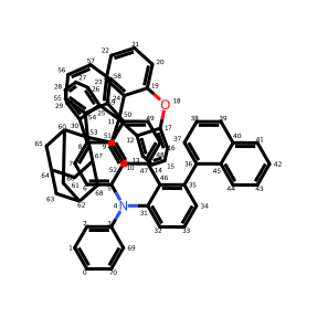 c1ccc(N(c2ccc3c(c2)C2(c4ccccc4Oc4ccccc42)c2ccccc2-3)c2cccc(-c3cccc4ccccc34)c2-c2ccc3c(c2)C2(c4ccccc4-3)C3CC4CC(C3)CC2C4)cc1